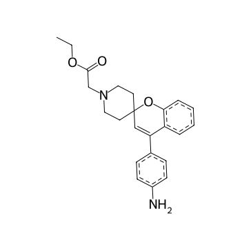 CCOC(=O)CN1CCC2(C=C(c3ccc(N)cc3)c3ccccc3O2)CC1